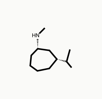 CN[C@H]1CCCC[C@@H](C(C)C)C1